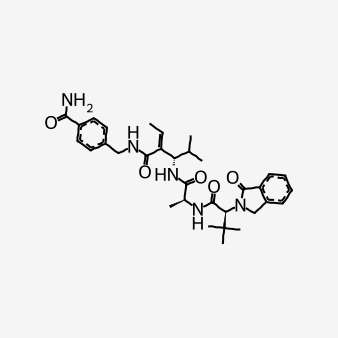 CC=C(C(=O)NCc1ccc(C(N)=O)cc1)[C@@H](NC(=O)[C@H](C)NC(=O)[C@@H](N1Cc2ccccc2C1=O)C(C)(C)C)C(C)C